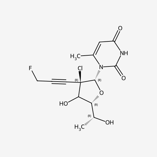 Cc1cc(=O)[nH]c(=O)n1[C@@H]1O[C@H]([C@@H](C)O)C(O)[C@]1(Cl)C#CCF